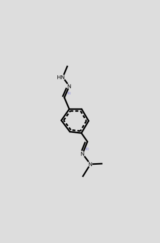 CN/N=C/c1ccc(/C=N/N(C)C)cc1